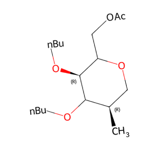 CCCCOC1[C@@H](OCCCC)C(COC(C)=O)OC[C@H]1C